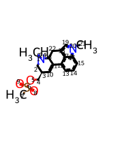 CN1C[C@H](COS(C)(=O)=O)C=C2c3cccc4c3c(cn4C)C[C@H]21